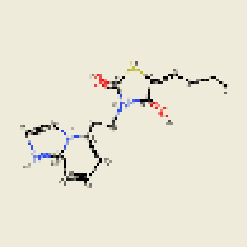 CCCC=C1SC(=O)N(CCc2cccc3nccn23)C1=O